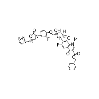 O=C(OCc1ccccc1)c1cn(C2CC2)c2c3c(c(F)cc2c1=O)N1C[C@@](O)(COc2ccc(N4C[C@@H](Cn5ccnn5)OC4=O)cc2F)C[C@H]1CO3